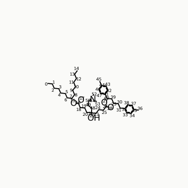 CCCCCCCC(CCCCCCC)OC(=O)CCCC(O)(CCCC(=O)OC(CCc1ccc(C)cc1)CCc1ccc(C)cc1)CCCN(C)C